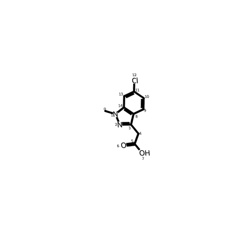 Cn1nc(CC(=O)O)c2ccc(Cl)cc21